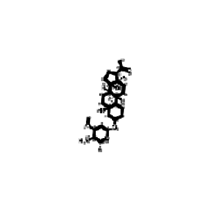 CO[C@H]1C[C@H](O[C@H]2CC[C@@]3(C)[C@@H](CC[C@@H]4[C@@H]3CC[C@]3(C)[C@H](C(C)=O)CC[C@]43O)C2)O[C@H](C)[C@H]1N